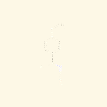 C=Cc1ccc(C(C)N=C=O)cc1